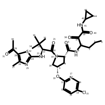 CCCC(NC(=O)[C@@H]1C[C@H](Oc2ccc(Cl)cn2)CN1C(=O)[C@@H](Nc1nc(C)c(C(C)=O)s1)C(C)(C)C)C(=O)C(=O)NC1CC1